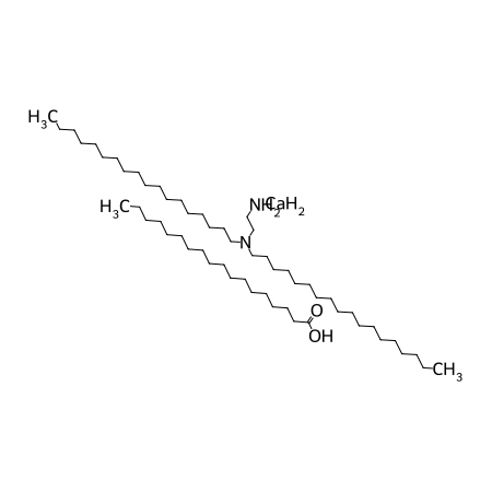 CCCCCCCCCCCCCCCCCC(=O)O.CCCCCCCCCCCCCCCCCCN(CCN)CCCCCCCCCCCCCCCCCC.[CaH2]